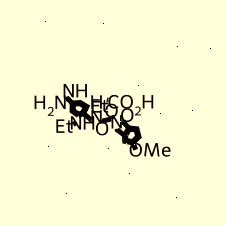 CC(=O)O.CCNc1cc(C(=N)N)ccc1CNC(=O)C(OCC)N1Cc2cc(OC)ccc2C1=O